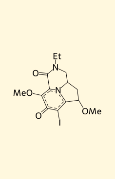 CCN1CC2CC(OC)c3c(I)c(=O)c(OC)c(n32)C1=O